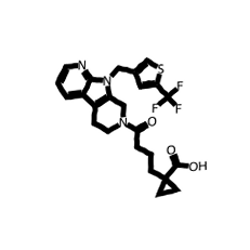 O=C(CCCC1(C(=O)O)CC1)N1CCc2c(n(Cc3csc(C(F)(F)F)c3)c3ncccc23)C1